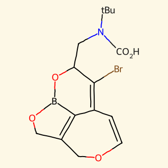 CC(C)(C)N(CC1OB2OCC3=C2C(=C1Br)C=COC3)C(=O)O